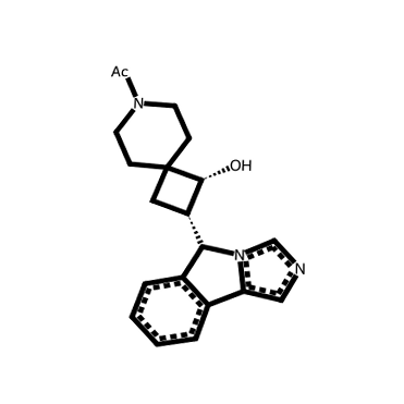 CC(=O)N1CCC2(CC1)C[C@@H](C1c3ccccc3-c3cncn31)[C@H]2O